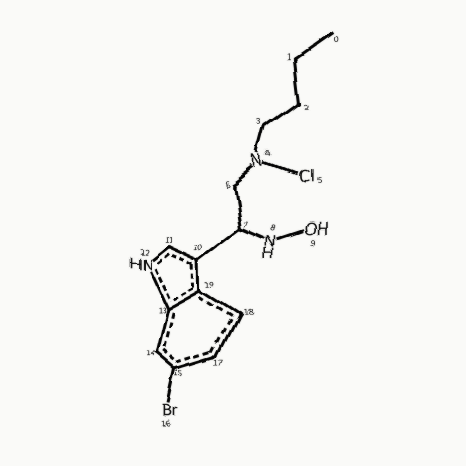 CCCCN(Cl)CC(NO)c1c[nH]c2cc(Br)ccc12